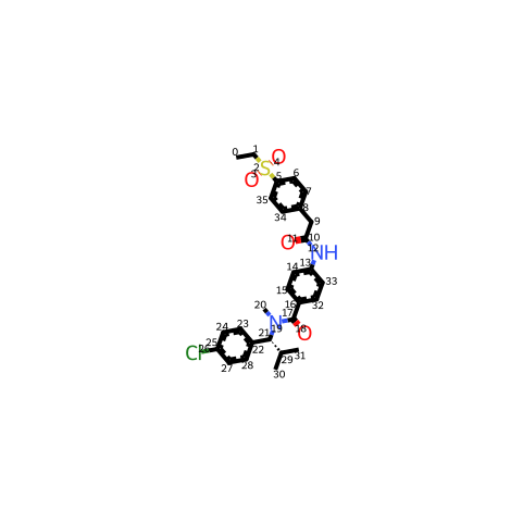 CCS(=O)(=O)c1ccc(CC(=O)Nc2ccc(C(=O)N(C)[C@@H](c3ccc(Cl)cc3)C(C)C)cc2)cc1